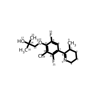 CC1CCCN=C1c1cc(F)c(OCC(C)(C)O)c(Cl)c1F